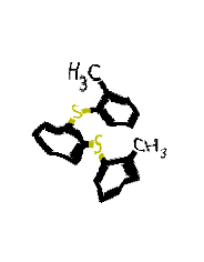 Cc1ccccc1Sc1ccccc1Sc1ccccc1C